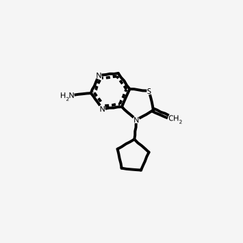 C=C1Sc2cnc(N)nc2N1C1CCCC1